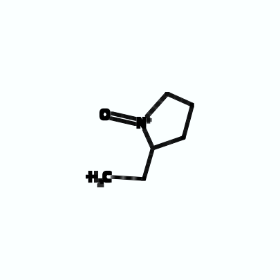 [CH2]CC1CCC[N+]1=O